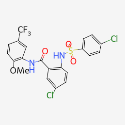 COc1ccc(C(F)(F)F)cc1NC(=O)c1cc(Cl)ccc1NS(=O)(=O)c1ccc(Cl)cc1